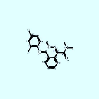 CO/N=C(/C(=O)N(C)C)c1ccccc1COc1ccc(C)cc1C